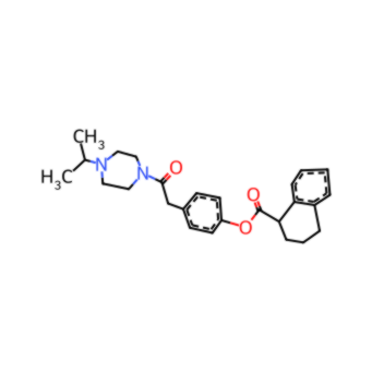 CC(C)N1CCN(C(=O)Cc2ccc(OC(=O)C3CCCc4ccccc43)cc2)CC1